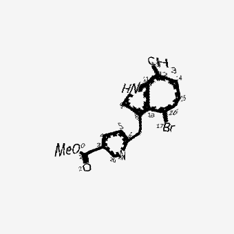 COC(=O)c1ccc(Cc2c[nH]c3c(C)ccc(Br)c23)nc1